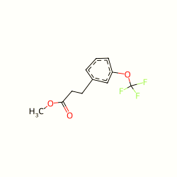 COC(=O)CCc1cccc(OC(F)(F)F)c1